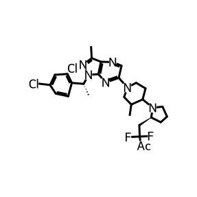 CC(=O)C(F)(F)C[C@@H]1CCCN1C1CCN(c2cnc3c(C)nn([C@H](C)c4ccc(Cl)cc4Cl)c3n2)CC1C